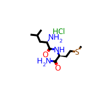 CSCC[C@H](NC(=O)[C@@H](N)CC(C)C)C(N)=O.Cl